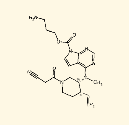 C=C[C@@H]1CCN(C(=O)CC#N)C[C@@H]1N(C)c1ncnc2c1ccn2C(=O)OCCCN